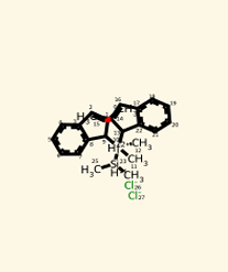 CC1=Cc2ccccc2[CH]1[Hf+2]([CH3])([CH3])([CH]1C(C)=Cc2ccccc21)[SiH](C)C.[Cl-].[Cl-]